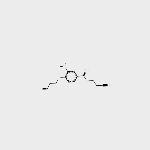 CN(C)c1cc(C(=N)NCCC#N)ccc1OCCC=O